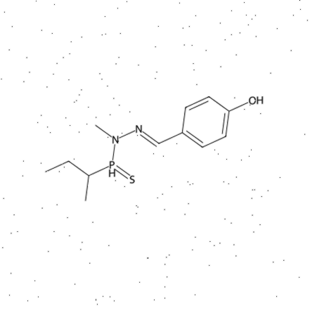 CCC(C)[PH](=S)N(C)N=Cc1ccc(O)cc1